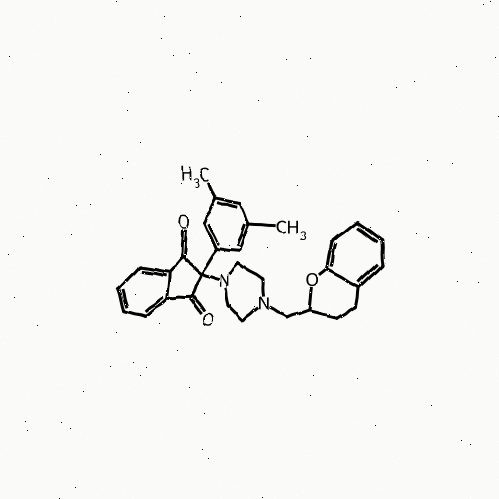 Cc1cc(C)cc(C2(N3CCN(CC4CCc5ccccc5O4)CC3)C(=O)c3ccccc3C2=O)c1